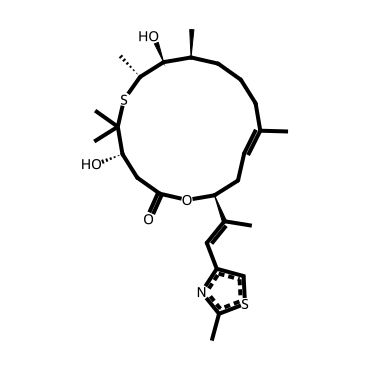 C/C1=C\C[C@@H](/C(C)=C/c2csc(C)n2)OC(=O)C[C@H](O)C(C)(C)S[C@H](C)[C@@H](O)[C@@H](C)CCC1